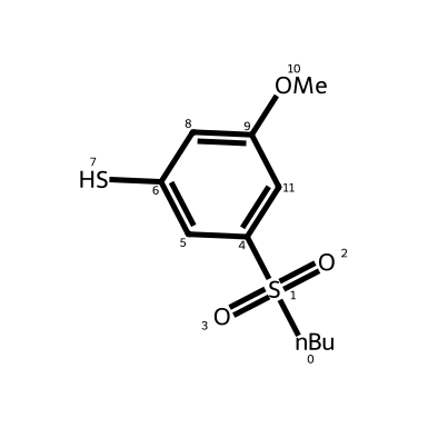 CCCCS(=O)(=O)c1cc(S)cc(OC)c1